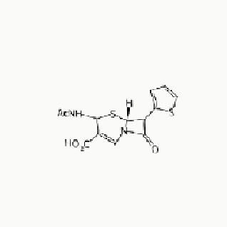 CC(=O)NC1S[C@@H]2C(c3cccs3)C(=O)N2C=C1C(=O)O